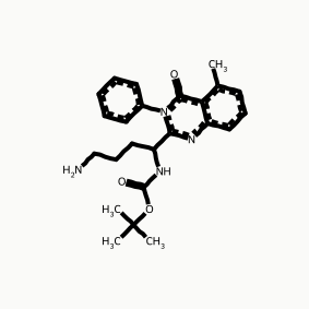 Cc1cccc2nc(C(CCCN)NC(=O)OC(C)(C)C)n(-c3ccccc3)c(=O)c12